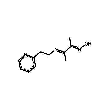 CC(=N\O)/C(C)=N/CCc1ccccn1